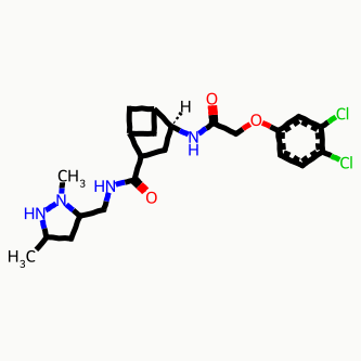 CC1CC(CNC(=O)C2C[C@H](NC(=O)COc3ccc(Cl)c(Cl)c3)C3CC2C3)N(C)N1